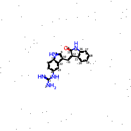 N=C(N)Nc1ccc2[nH]cc(C=C3C(=O)Nc4ccccc43)c2c1